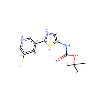 CC(C)(C)OC(=O)Nc1cnc(-c2cncc(F)c2)s1